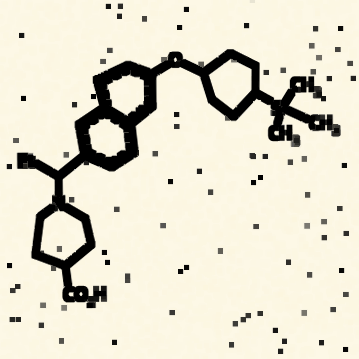 CCC(c1ccc2cc(OC3CCC([Si](C)(C)C)CC3)ccc2c1)N1CCC(C(=O)O)CC1